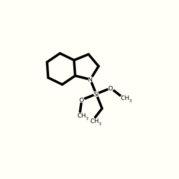 CC[Si](OC)(OC)N1CCC2CCCCC21